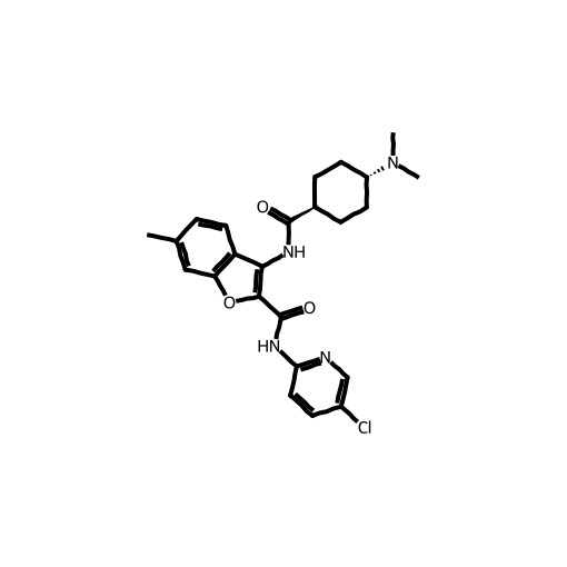 Cc1ccc2c(NC(=O)[C@H]3CC[C@H](N(C)C)CC3)c(C(=O)Nc3ccc(Cl)cn3)oc2c1